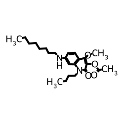 CCCCCCCCNc1ccc2c(OC)c(OC(C)=O)c(=O)n(CCCC)c2c1